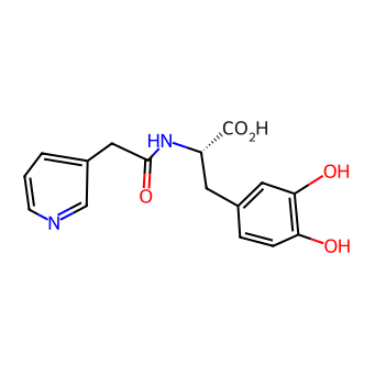 O=C(Cc1cccnc1)N[C@@H](Cc1ccc(O)c(O)c1)C(=O)O